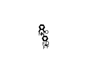 O=c1c2ccccc2cnn1-c1ccc(OC(F)(F)F)cc1